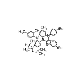 Cc1cc(C)c(N2c3cc4c(cc3B3c5sc6cc(C(C)(C)C)ccc6c5N(c5ccc(C(C)(C)C)cc5)c5cc(C)cc2c53)C(C)(C)CCC4(C)C)c(C)c1